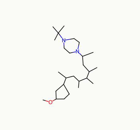 COC1CCC(C(C)CC(C)C(C)C(C)CC(C)N2CCN(C(C)(C)C)CC2)C1